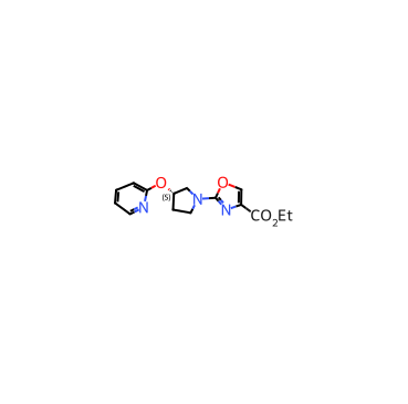 CCOC(=O)c1coc(N2CC[C@H](Oc3ccccn3)C2)n1